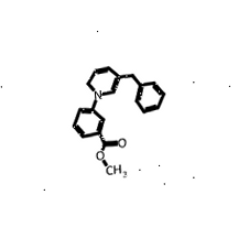 COC(=O)c1cccc(N2C=C(Cc3ccccc3)C=CC2)c1